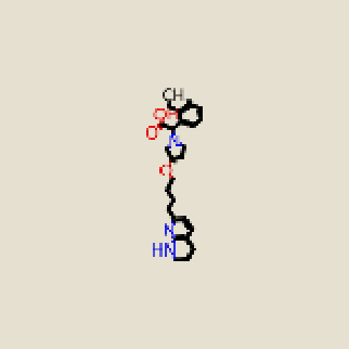 CCc1ccccc1C(C(=O)O)N1CC[C@@H](OCCCCc2ccc3c(n2)NCCC3)C1